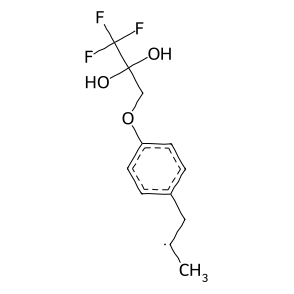 C[CH]Cc1ccc(OCC(O)(O)C(F)(F)F)cc1